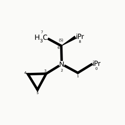 CC(C)CN(C1CC1)[C@@H](C)C(C)C